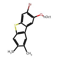 CCCCCCCCOc1cc2c(cc1Br)sc1cc([SiH3])c(C)cc12